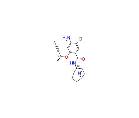 CC#C[C@H](C)Oc1cc(N)c(Cl)cc1C(=O)N[C@H]1CCC2CCC1N2C